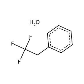 FC(F)(F)Cc1ccccc1.O